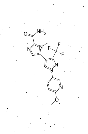 COc1ccc(-n2cc(-c3cnc(C(N)=O)n3C)c(C(F)(F)F)n2)cn1